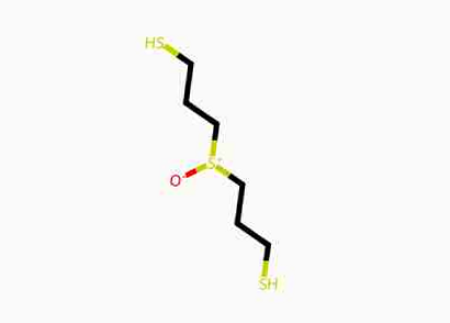 [O-][S+](CCCS)CCCS